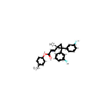 C[C@@]1(/C=C/C(=O)Oc2ccc([N+](=O)[O-])cc2)CC1(c1cccc(F)c1)c1cccc(F)c1